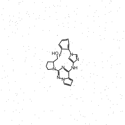 OCC1CCCN1c1nc(Nc2cn(-c3ccccc3F)cn2)c2cccn2n1